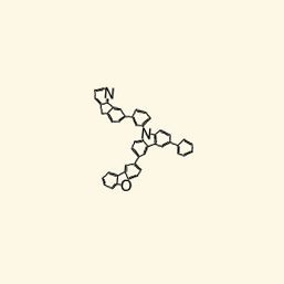 c1ccc(-c2ccc3c(c2)c2cc(-c4ccc5oc6ccccc6c5c4)ccc2n3-c2cccc(-c3ccc4c(c3)-c3ncccc3C4)c2)cc1